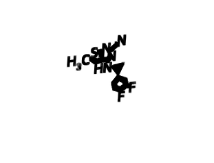 Cc1cc2c(N[C@@H]3C[C@H]3c3ccc(F)c(F)c3)nc(C#N)nc2s1